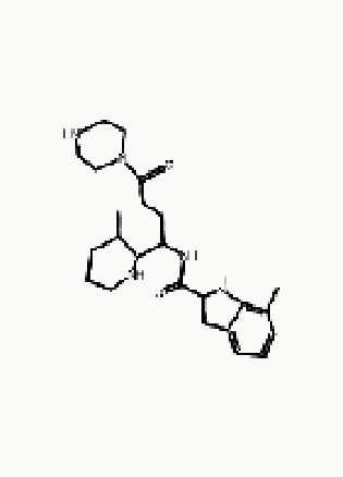 Cc1cccc2c1NC(C(=O)NC(CCC(=O)N1CCNCC1)C1NCCCC1C)C2